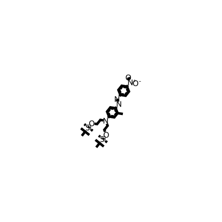 Cc1cc(N(CCO[Si](C)(C)C(C)(C)C)CCO[Si](C)(C)C(C)(C)C)ccc1N=Nc1ccc([N+](=O)[O-])cc1